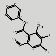 Cc1c(F)c(F)cc(C=O)c1C(=O)Oc1ccccc1